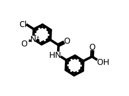 O=C(O)c1cccc(NC(=O)c2ccc(Cl)[n+]([O-])c2)c1